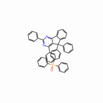 O=P(c1ccccc1)(c1ccccc1)c1ccc(C2(c3ccccc3)c3ccccc3-c3nc(-c4ccccc4)nc(-c4ccccc4)c32)cc1